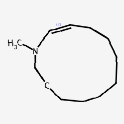 CN1/C=C\CCCCCCCCC1